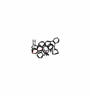 CC1CNc2cc3c(cc21)-c1cccc2c1[N+]1(c4c-3ccc3c5c(n(c43)-c3cccc[n+]31)C=CCC5)C1N2c2ccccc2N1c1c(-c2ccccc2)cccc1-c1ccccc1